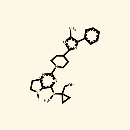 Cc1oc(C2CCN(c3nc4c(c(N(N)C5(CO)CC5)n3)[S+]([O-])CC4)CC2)nc1-c1ccccc1